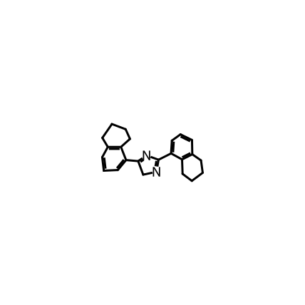 c1cc2c(c(C3=NC(c4cccc5c4CCCC5)=NC3)c1)CCCC2